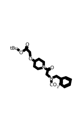 CC(C)(C)OC(=O)COC1CCN(C(=O)CN(Cc2ccccc2)C(=O)O)CC1